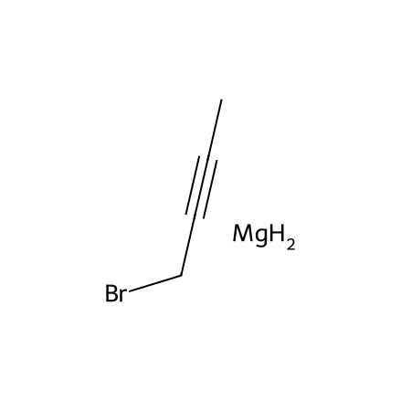 CC#CCBr.[MgH2]